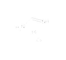 I.N=CN.[Cs]